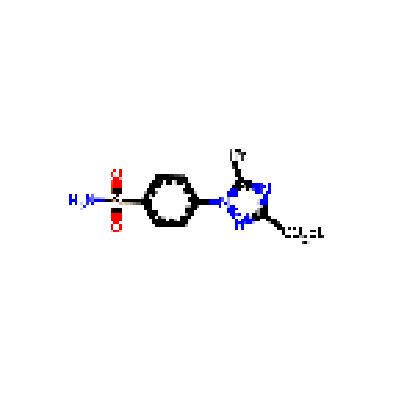 CCOC(=O)c1nc(C(C)C)n(-c2ccc(S(N)(=O)=O)cc2)n1